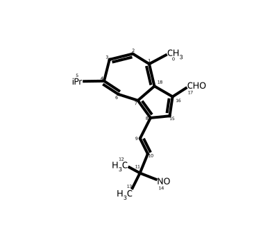 Cc1ccc(C(C)C)cc2c(C=CC(C)(C)N=O)cc(C=O)c1-2